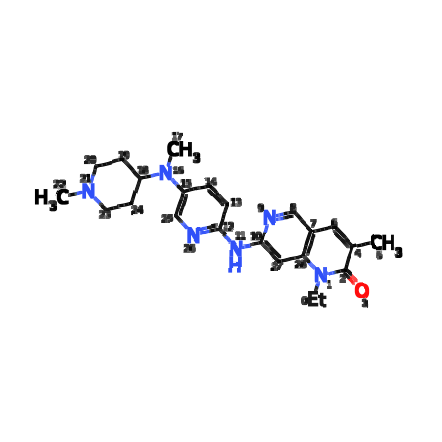 CCn1c(=O)c(C)cc2cnc(Nc3ccc(N(C)C4CCN(C)CC4)cn3)cc21